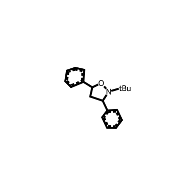 CC(C)(C)N1OC(c2ccccc2)CC1c1ccccc1